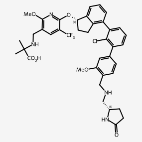 COc1cc(-c2cccc(-c3cccc4c3CC[C@@H]4Oc3nc(OC)c(CNC(C)(C)C(=O)O)cc3C(F)(F)F)c2Cl)ccc1CNC[C@@H]1CCC(=O)N1